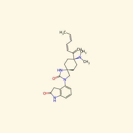 C=C(/C=C\C=C/C)[C@]1(N(C)C)CC[C@@]2(CC1)CN(c1cccc3c1CC(=O)N3)C(=O)N2